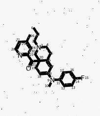 CCCN1CCC2=CC(N(C)c3ccc(F)cc3)=CCC2(C(=O)c2cc(C)ccn2)C1